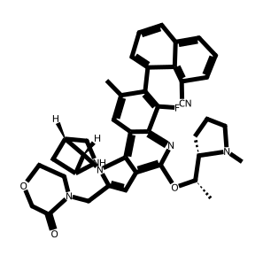 Cc1cc2c(nc(O[C@@H](C)[C@@H]3CCCN3C)c3cc(CN4CCOCC4=O)n([C@@H]4C5C[C@@H]4CN5)c32)c(F)c1-c1cccc2cccc(C#N)c12